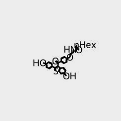 CCCCCCC(=O)NCCOc1ccc(C(=O)c2c(-c3ccc(O)cc3)sc3cc(O)ccc23)cc1